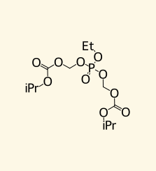 CCOP(=O)(OCOC(=O)OC(C)C)OCOC(=O)OC(C)C